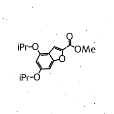 COC(=O)c1cc2c(OC(C)C)cc(OC(C)C)cc2o1